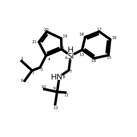 CC(C)CC1=C([SiH](CNC(C)(C)C)c2ccccc2)CC=C1